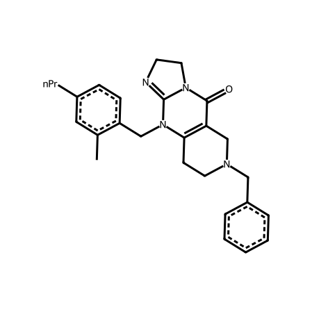 CCCc1ccc(CN2C3=NCCN3C(=O)C3=C2CCN(Cc2ccccc2)C3)c(C)c1